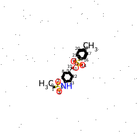 CCS(=O)(=O)N[C@H]1CC[C@H](COS(=O)(=O)c2ccc(C)cc2)CC1